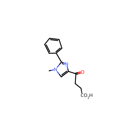 Cn1cc(C(=O)CCC(=O)O)nc1-c1ccccc1